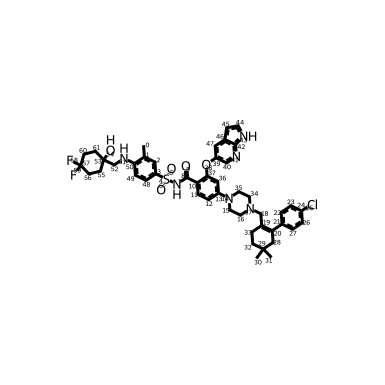 Cc1cc(S(=O)(=O)NC(=O)c2ccc(N3CCN(CC4=C(c5ccc(Cl)cc5)CC(C)(C)CC4)CC3)cc2Oc2cnc3[nH]ccc3c2)ccc1NCC1(O)CCC(F)(F)CC1